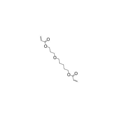 C=CC(=O)OCCCCCOCCCOC(=O)C=C